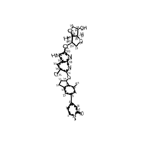 Cn1ccc(-c2cc(F)c3c(c2)CCC3Oc2nc3nc(O[C@@H]4CO[C@H]5[C@@H]4OC[C@H]5O)[nH]c3cc2Cl)cc1=O